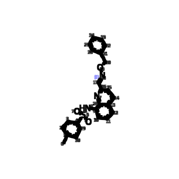 Cc1ccc(S(=O)(=O)Nc2cccc3ccc(/C=N/OCc4ccccc4)nc23)cc1